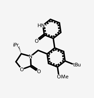 COc1cc(CN2C(=O)OC[C@@H]2C(C)C)c(-c2ccc[nH]c2=O)cc1C(C)(C)C